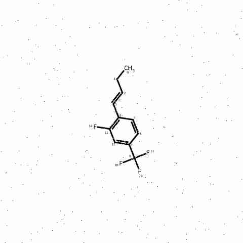 CC/C=C/c1ccc(C(F)(F)F)cc1F